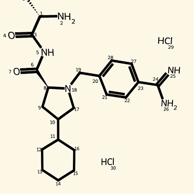 C[C@H](N)C(=O)NC(=O)[C@@H]1CC(C2CCCCC2)CN1Cc1ccc(C(=N)N)cc1.Cl.Cl